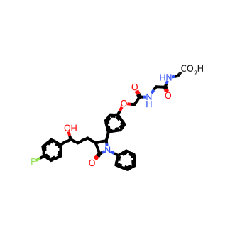 O=C(O)CNC(=O)CNC(=O)COc1ccc(C2C(CCC(O)c3ccc(F)cc3)C(=O)N2c2ccccc2)cc1